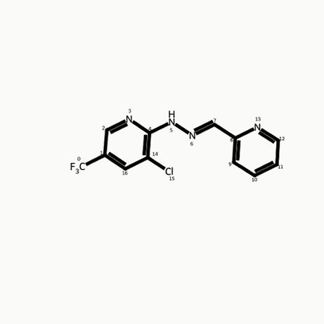 FC(F)(F)c1cnc(N/N=C/c2ccccn2)c(Cl)c1